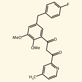 COc1cc(Cc2ccc(F)cc2)cc(C(=O)CC(=O)c2cc(C)ccn2)c1OC